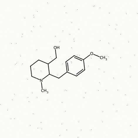 COc1ccc(CC2C(CO)CCCN2C)cc1